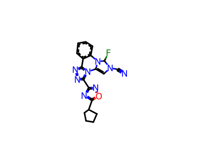 N#CN1C=C2N(c3ccccc3-c3nnc(-c4noc(C5CCCC5)n4)n32)C1F